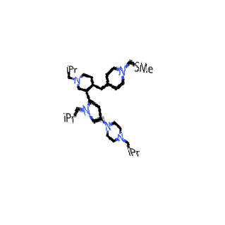 CSCN1CCC(CC2CCN(CC(C)C)CC2C2C[C@@H](N3CCN(CC(C)C)CC3)CN2CC(C)C)CC1